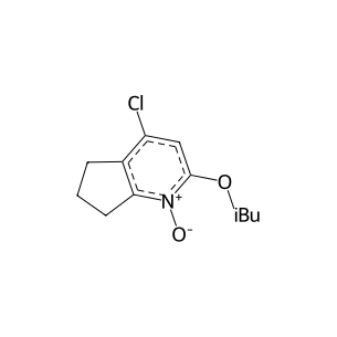 CCC(C)Oc1cc(Cl)c2c([n+]1[O-])CCC2